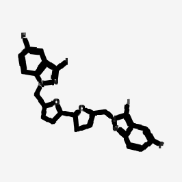 Fc1ccc2nn(CC3CCC(C4CCC(Cn5nc(I)c6cc(F)ccc65)O4)O3)c(I)c2c1